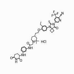 CCc1cc(N2C(=S)N(c3cnc(C#N)c(C(F)(F)F)c3)C(=O)C23CCC3)ccc1OCCC1CCN(CC(=O)Nc2cccc(NC3CCC(=O)NC3=O)c2)C(C)(C)C1.Cl